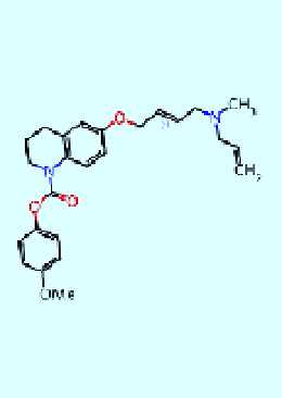 C=CCN(C)C/C=C/COc1ccc2c(c1)CCCN2C(=O)Oc1ccc(OC)cc1